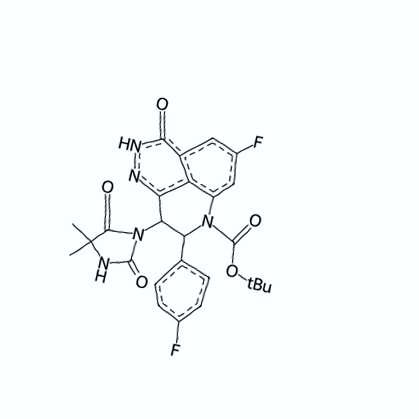 CC(C)(C)OC(=O)N1c2cc(F)cc3c(=O)[nH]nc(c23)C(N2C(=O)NC(C)(C)C2=O)C1c1ccc(F)cc1